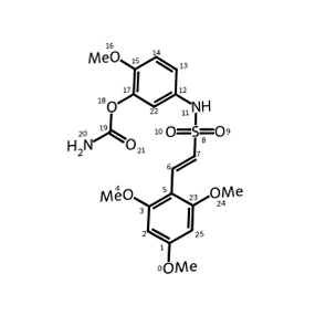 COc1cc(OC)c(C=CS(=O)(=O)Nc2ccc(OC)c(OC(N)=O)c2)c(OC)c1